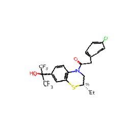 CC[C@H]1CN(C(=O)Cc2ccc(Cl)cc2)c2ccc(C(O)(C(F)(F)F)C(F)(F)F)cc2S1